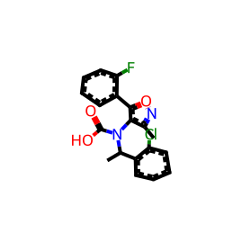 Cc1noc(-c2ccccc2F)c1N(C(=O)O)C(C)c1ccccc1Cl